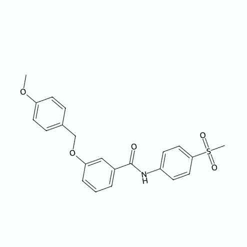 COc1ccc(COc2cccc(C(=O)Nc3ccc(S(C)(=O)=O)cc3)c2)cc1